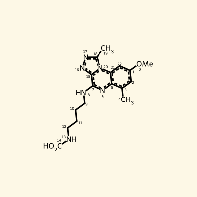 COc1cc(C)c2nc(NCCCCNC(=O)O)c3nnc(C)n3c2c1